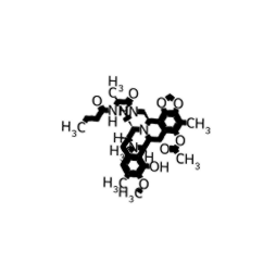 CCCC(=O)N[C@H](C)C(=O)NC[C@H]1c2c(c(OC(C)=O)c(C)c3c2OCO3)CC2[C@H]3c4c(cc(C)c(OC)c4O)C[C@@H]([C@H](C#N)N21)N3C